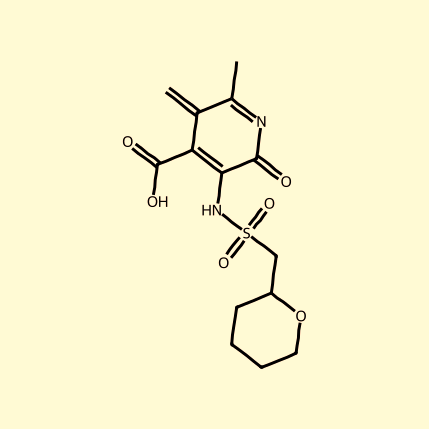 C=C1C(C)=NC(=O)C(NS(=O)(=O)CC2CCCCO2)=C1C(=O)O